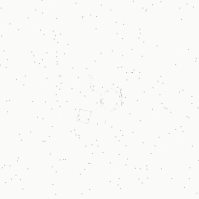 Cl.NCc1ccccc1C1CCC1